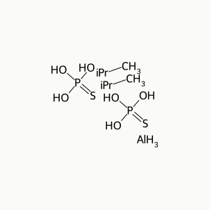 CC(C)C.CC(C)C.OP(O)(O)=S.OP(O)(O)=S.[AlH3]